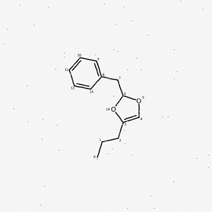 [CH2]CCC1=COC(Cc2ccccc2)O1